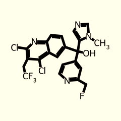 Cn1cncc1C(O)(c1ccnc(CF)c1)c1ccc2nc(Cl)c(CC(F)(F)F)c(Cl)c2c1